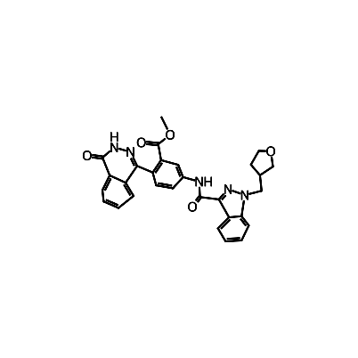 COC(=O)c1cc(NC(=O)c2nn(CC3CCOC3)c3ccccc23)ccc1-c1n[nH]c(=O)c2ccccc12